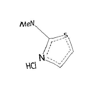 CNc1nccs1.Cl